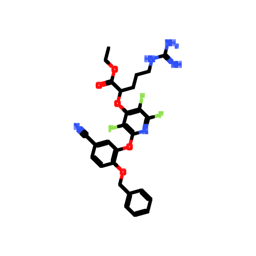 CCOC(=O)C(CCCNC(=N)N)Oc1c(F)c(F)nc(Oc2cc(C#N)ccc2OCc2ccccc2)c1F